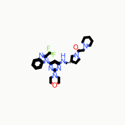 O=C(CN1CCCCC1)N1CC[C@H](CNc2cc(-n3c(C(F)F)nc4ccccc43)nc(N3CCOCC3)n2)C1